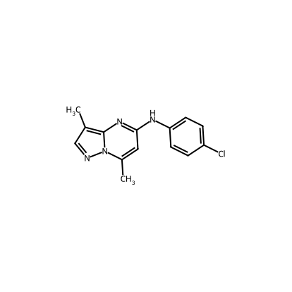 Cc1cnn2c(C)cc(Nc3ccc(Cl)cc3)nc12